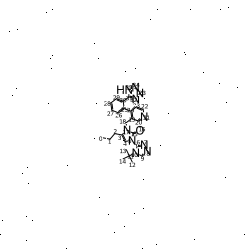 CCCc1cn(-c2nncn2C(C)(C)C)c(=O)n1Cc1cnccc1-c1ccccc1-c1nnn[nH]1